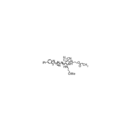 C=CC(=O)OCCCNc1nc(NCCCOC)c(N=Nc2ncn(-c3nc4ccc(C(C)C)cc4s3)n2)c(C)c1C#N